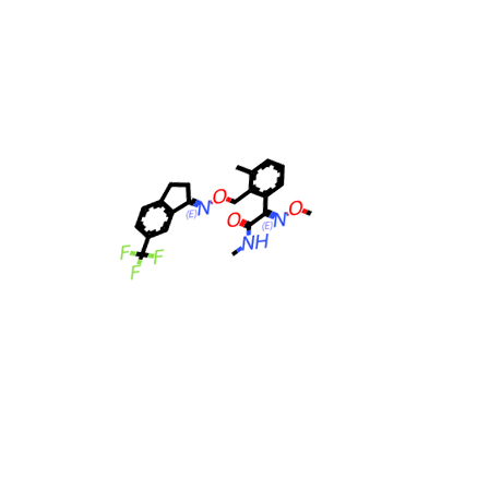 CNC(=O)/C(=N/OC)c1cccc(C)c1CO/N=C1\CCc2ccc(C(F)(F)F)cc21